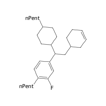 CCCCCc1ccc(C(CC2CC=CCC2)C2CCC(CCCCC)CC2)cc1F